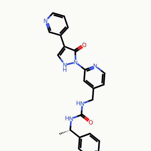 C[C@H](NC(=O)NCc1ccnc(-n2[nH]cc(-c3cccnc3)c2=O)c1)c1ccccc1